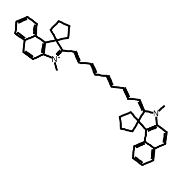 CN1/C(=C/C=C/C=C/C=C/C=C/C2=[N+](C)c3ccc4ccccc4c3C23CCCC3)C2(CCCC2)c2c1ccc1ccccc21